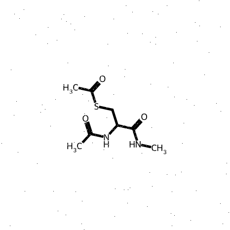 CNC(=O)C(CSC(C)=O)NC(C)=O